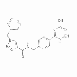 CN/C(=N\C(=O)O)c1ccc(CNC(=O)c2cnn(Cc3ccccc3)c2)cc1